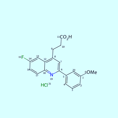 COc1cccc(-c2cc(CCC(=O)O)c3cc(F)ccc3n2)c1.Cl